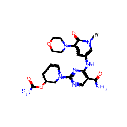 CC(C)n1cc(Nc2nc(N3CCCC(OC(N)=O)C3)ncc2C(N)=O)cc(N2CCOCC2)c1=O